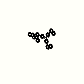 CCC1(c2ccc3ccccc3c2)c2ccccc2-c2c(-c3ccc(N(c4ccc(-c5cccc6ccccc56)cc4)c4ccc(-c5cccc6ccccc56)cc4)cc3)cccc21